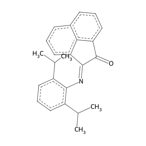 CC(C)c1cccc(C(C)C)c1N=C1C(=O)c2cccc3cccc1c23